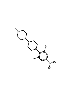 CN1CCN(C2CCN(c3c(F)cc([N+](=O)[O-])cc3Br)CC2)CC1